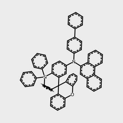 c1ccc(-c2ccc(N(c3ccc4c(c3)C3(c5ccccc5Oc5ccccc53)c3ccccc3[Si]4(c3ccccc3)c3ccccc3)c3cc4ccccc4c4ccccc34)cc2)cc1